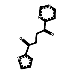 O=C(CCC(=O)c1cccs1)c1ccncn1